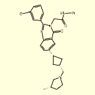 CC(C)NC(=O)Cn1c(-c2cccc(Cl)c2)nc2ccc([C@H]3C[C@@H](CN4CC[C@H](C)C4)C3)cc2c1=O